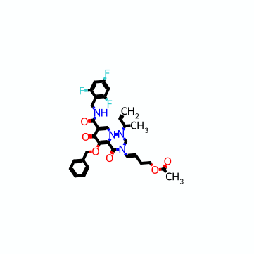 C=CC(C)N1CN(C=CCCOC(C)=O)C(=O)c2c(OCc3ccccc3)c(=O)c(C(=O)NCc3c(F)cc(F)cc3F)cn21